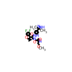 COCCc1nocc1C(=O)/N=C/C(C(=O)Nc1ccc(-c2c(C)n[nH]c2C)cc1)C1c2cc(F)c(F)cc2OCC12CC2